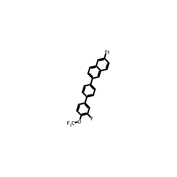 CCc1ccc2cc(-c3ccc(-c4ccc(OC(F)(F)F)c(F)c4)cc3)ccc2c1